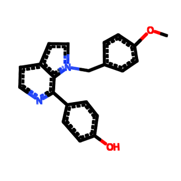 COc1ccc(Cn2ccc3ccnc(-c4ccc(O)cc4)c32)cc1